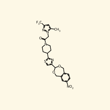 Cc1cc(C(F)(F)F)nn1CC(=O)N1CCC(c2nc(C3OCc4ccc([N+](=O)[O-])cc4CO3)cs2)CC1